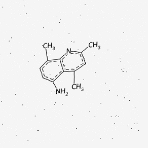 Cc1cc(C)c2c(N)ccc(C)c2n1